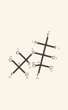 FC(F)(F)C(Cl)(OC(F)(Cl)C(F)(Cl)Cl)C(F)(Cl)Cl